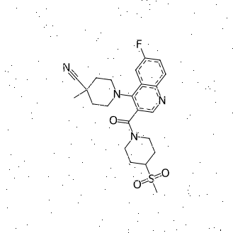 CC1(C#N)CCN(c2c(C(=O)N3CCC(S(C)(=O)=O)CC3)cnc3ccc(F)cc23)CC1